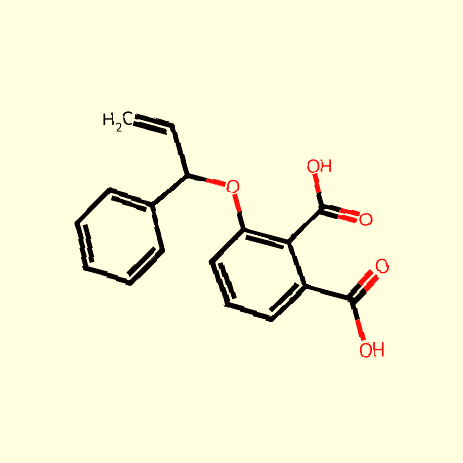 C=CC(Oc1cccc(C(=O)O)c1C(=O)O)c1ccccc1